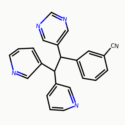 N#Cc1cccc(C(c2cncnc2)C(c2cccnc2)c2cccnc2)c1